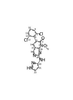 COn1c(=O)c(-c2c(Cl)cccc2Cl)cc2cnc(Nc3cc[nH]n3)nc21